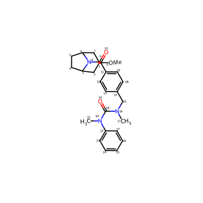 COC1CC2CCC(C1)N2C(=O)c1ccc(CN(C)C(=O)N(C)c2ccccc2)cc1